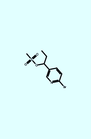 CCC(OS(C)(=O)=O)c1ccc(Br)nc1